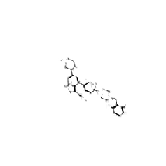 CN1CCCC(c2cc(-c3ccc(N4CCN(Cc5c(F)cccc5F)CC4)nc3)c3c(C#N)cnn3c2)C1